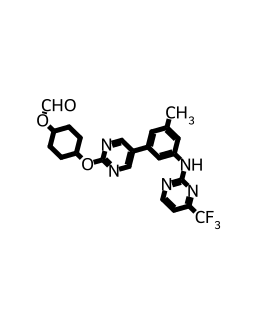 Cc1cc(Nc2nccc(C(F)(F)F)n2)cc(-c2cnc(OC3CCC(OC=O)CC3)nc2)c1